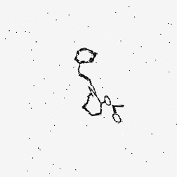 CC(=O)OC1CCCCN1C=Cc1ccccc1